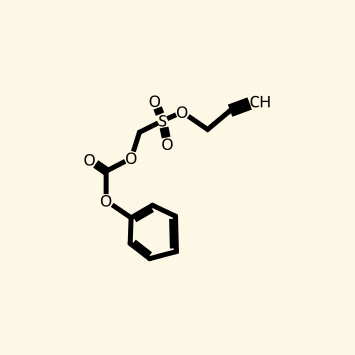 C#CCOS(=O)(=O)COC(=O)Oc1ccccc1